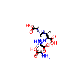 CC[C@H](C)[C@H](N)C(=O)O.C[C@H](N)C(=O)O.NCC(=O)O.NCC(=O)O